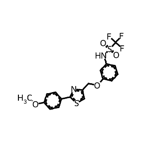 COc1ccc(-c2nc(COc3cccc(NS(=O)(=O)C(F)(F)F)c3)cs2)cc1